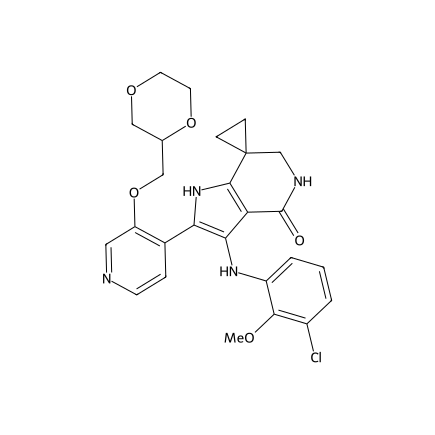 COc1c(Cl)cccc1Nc1c(-c2ccncc2OCC2COCCO2)[nH]c2c1C(=O)NCC21CC1